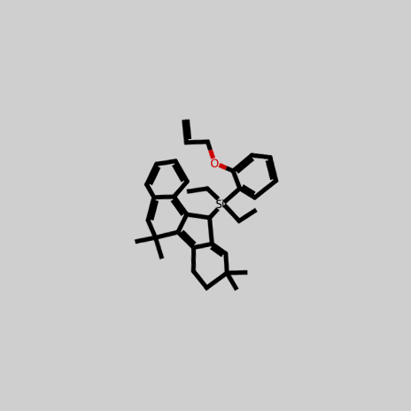 C=CCOc1ccccc1[Si](CC)(CC)C1C2=CC(C)(C)CCC2=C2C1=c1ccccc1=CC2(C)C